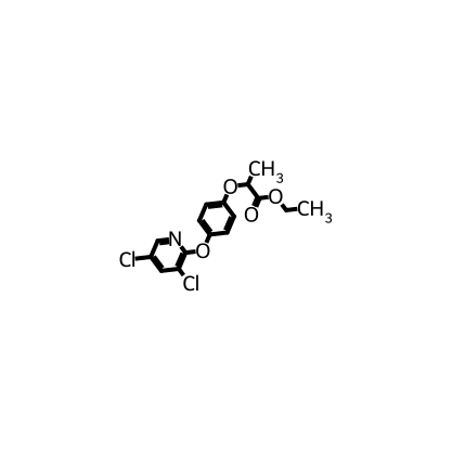 CCOC(=O)C(C)Oc1ccc(Oc2ncc(Cl)cc2Cl)cc1